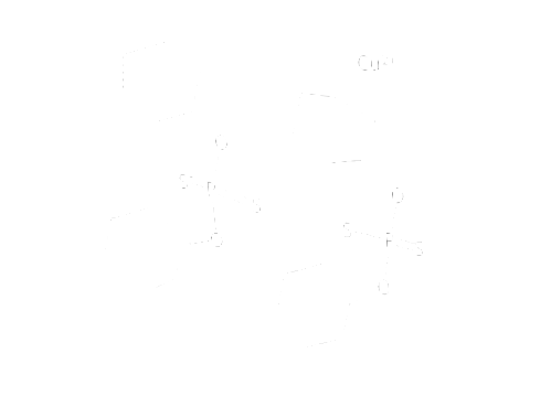 S=P([S-])(OC1CCCCC1)OC1CCCCC1.S=P([S-])(OC1CCCCC1)OC1CCCCC1.[Cu+2]